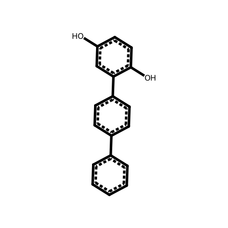 Oc1ccc(O)c(-c2ccc(-c3ccccc3)cc2)c1